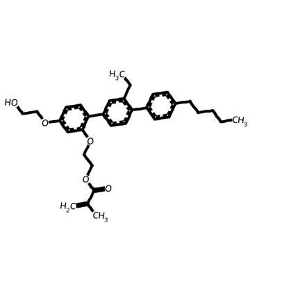 C=C(C)C(=O)OCCOc1cc(OCCO)ccc1-c1ccc(-c2ccc(CCCCC)cc2)c(CC)c1